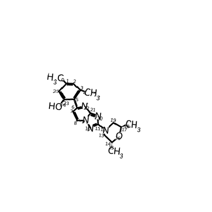 Cc1cc(C)c(-c2ccn3nc(N4C[C@@H](C)O[C@H](C)C4)nc3n2)c(O)c1